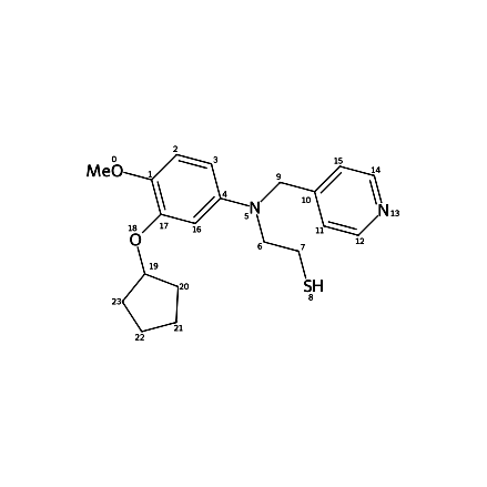 COc1ccc(N(CCS)Cc2ccncc2)cc1OC1CCCC1